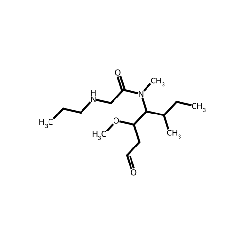 CCCNCC(=O)N(C)C(C(C)CC)C(CC=O)OC